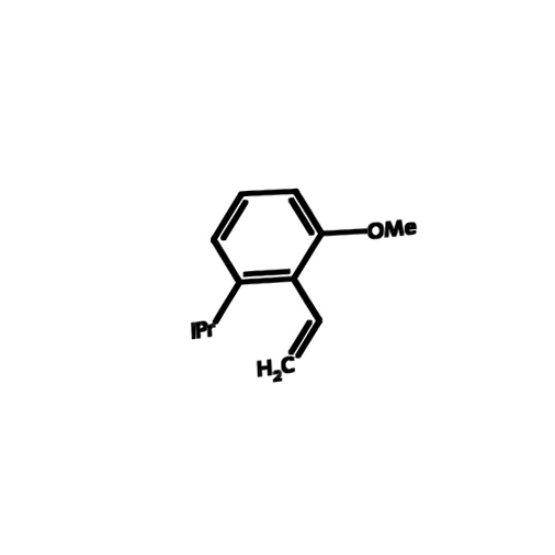 [CH2]C(C)c1cccc(OC)c1C=C